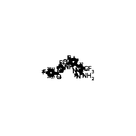 Nc1ncnn2c(-c3ccc(F)c(C(=O)N[C@@H]4CN(C(=O)c5ccc(F)cc5)C[C@@H]4F)c3)cc(C(F)(F)F)c12